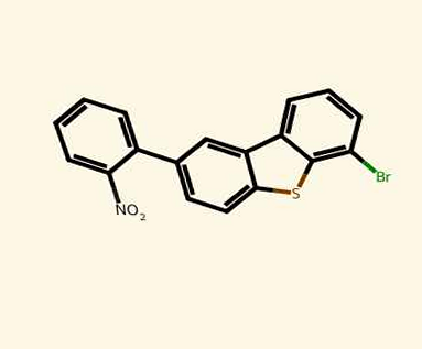 O=[N+]([O-])c1ccccc1-c1ccc2sc3c(Br)cccc3c2c1